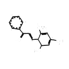 COC1=CC(O)=CC(O)C1C=CC(=O)c1ccccc1